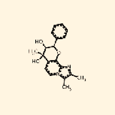 Cc1nc2c3c(ccn2c1C)[C@](C)(O)[C@@H](O)[C@@H](c1ccccc1)O3